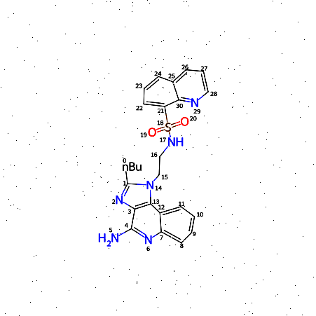 CCCCc1nc2c(N)nc3ccccc3c2n1CCNS(=O)(=O)c1cccc2cccnc12